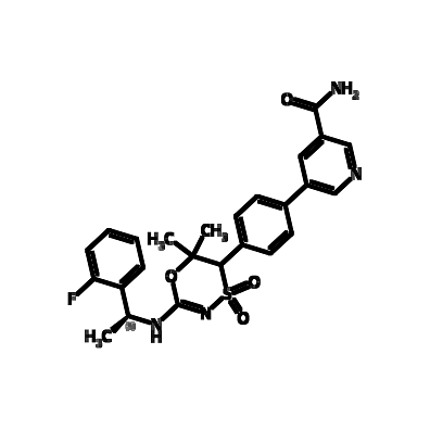 C[C@H](NC1=NS(=O)(=O)C(c2ccc(-c3cncc(C(N)=O)c3)cc2)C(C)(C)O1)c1ccccc1F